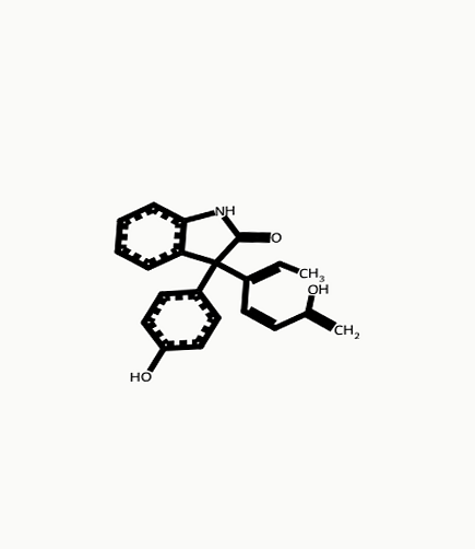 C=C(O)/C=C\C(=C/C)C1(c2ccc(O)cc2)C(=O)Nc2ccccc21